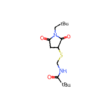 CC(C)(C)CN1C(=O)CC(SCNC(=O)C(C)(C)C)C1=O